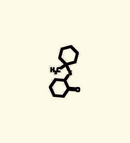 CC1(SC2CCCCC2=O)CCCCC1